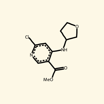 COC(=O)c1cnc(Cl)cc1NC1CCOC1